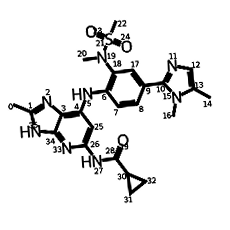 Cc1nc2c(Nc3ccc(-c4ncc(C)n4C)cc3N(C)S(C)(=O)=O)cc(NC(=O)C3CC3)nc2[nH]1